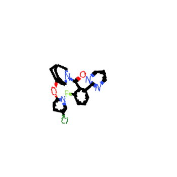 O=C(c1c(F)cccc1-c1ncccn1)N1CC2CCC1C(Oc1ccc(Cl)cn1)C2